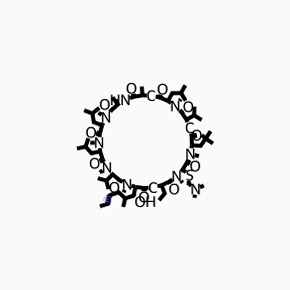 C/C=C/CC(C)C(O)C1C(=O)CC(CC)C(=O)N(C)C(SCN(C)C)C(=O)N(C)C(CC(C)(C)C)C(=O)CC(C(C)C)C(=O)N(C)C(CC(C)C)C(=O)CC(C)C(=O)NC(C)C(=O)N(C)C(CC(C)C)C(=O)N(C)C(CC(C)C)C(=O)N(C)C(C(C)C)C(=O)N1C